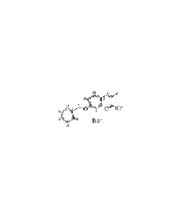 CC(=Cc1ccc(OCc2ccccc2)cc1)C(=O)[O-].[Na+]